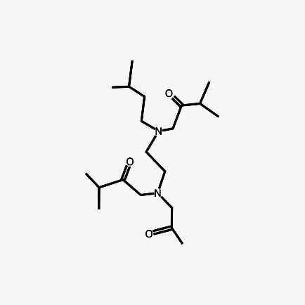 CC(=O)CN(CCN(CCC(C)C)CC(=O)C(C)C)CC(=O)C(C)C